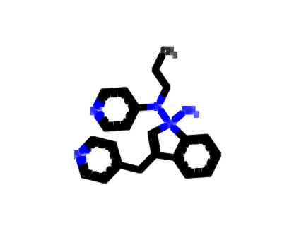 CCCN(c1ccncc1)[N+]1(N)C=C(Cc2ccncc2)c2ccccc21